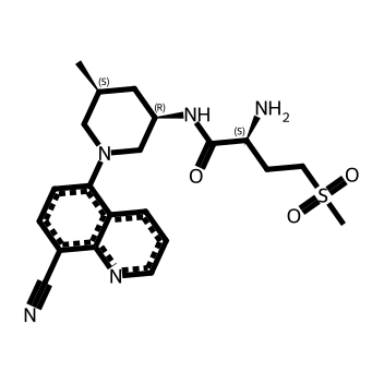 C[C@H]1C[C@@H](NC(=O)[C@@H](N)CCS(C)(=O)=O)CN(c2ccc(C#N)c3ncccc23)C1